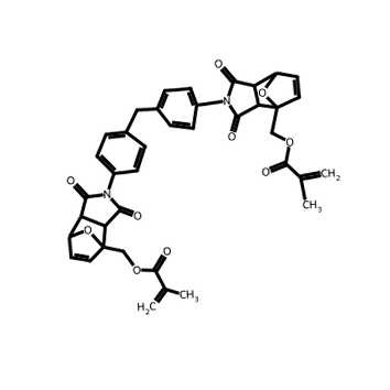 C=C(C)C(=O)OCC12C=CC(O1)C1C(=O)N(c3ccc(Cc4ccc(N5C(=O)C6C7C=CC(COC(=O)C(=C)C)(O7)C6C5=O)cc4)cc3)C(=O)C12